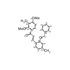 COc1ccc(C(=O)/C=C/c2ccc(C)cc2OCc2ccccc2)c(OC)c1C